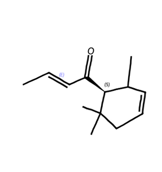 C/C=C/C(=O)[C@H]1C(C)C=CCC1(C)C